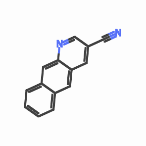 N#Cc1cnc2cc3ccccc3cc2c1